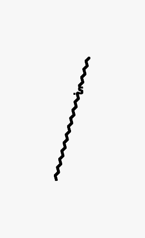 CCCCCCCCCCCCCCCCCCCCC[CH]SCCCCCCCC